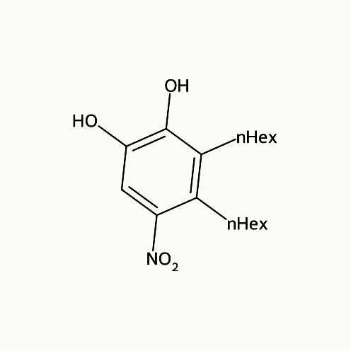 CCCCCCc1c([N+](=O)[O-])cc(O)c(O)c1CCCCCC